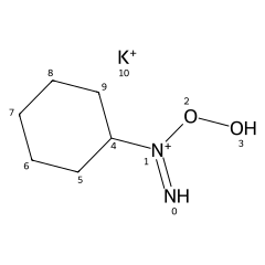 N=[N+](OO)C1CCCCC1.[K+]